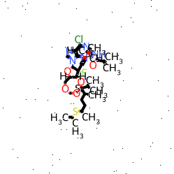 CC(C)SC(C)CCC(C)[Si]1(C(C)C)OCOC[C@H]2O[C@@H](n3cnc4c(Cl)nc(NC(=O)C(C)C)nc43)[C@@](F)(C#C[Si](C)(C)C)[C@@H]2O1